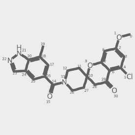 COc1cc(Cl)c2c(c1)OC1(CCN(C(=O)c3cc(C)c4[nH]ncc4c3)CC1)CC2=O